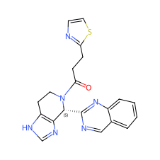 O=C(CCc1nccs1)N1CCc2[nH]cnc2[C@H]1c1ncc2ccccc2n1